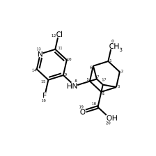 CC1CC2CCC1C(Nc1cc(Cl)ncc1F)C2C(=O)O